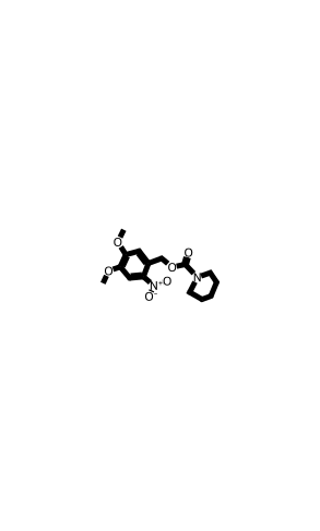 COc1cc(COC(=O)N2CCCCC2)c([N+](=O)[O-])cc1OC